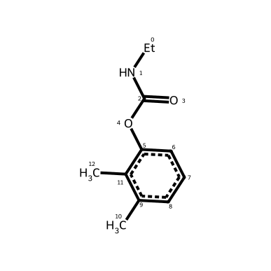 CCNC(=O)Oc1cccc(C)c1C